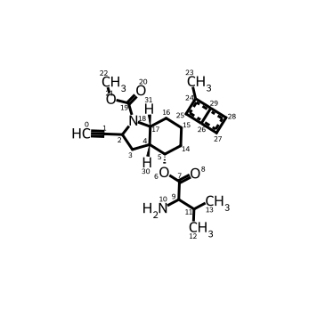 C#CC1C[C@H]2[C@@H](OC(=O)C(N)C(C)C)CCC[C@H]2N1C(=O)OC.Cc1cc2ccc1-2